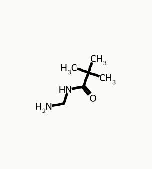 CC(C)(C)C(=O)NCN